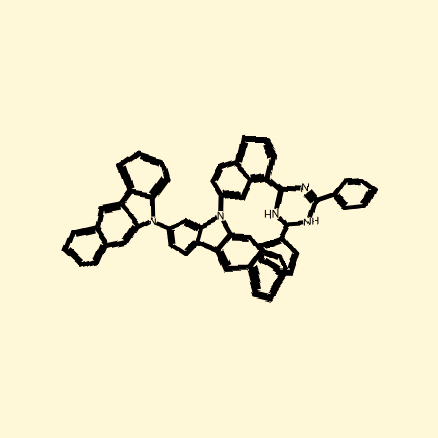 c1ccc(C2=NC(c3cccc4ccc(-n5c6cc(-n7c8ccccc8c8cc9ccccc9cc87)ccc6c6cc7ccccc7cc65)cc34)NC(c3ccccc3)N2)cc1